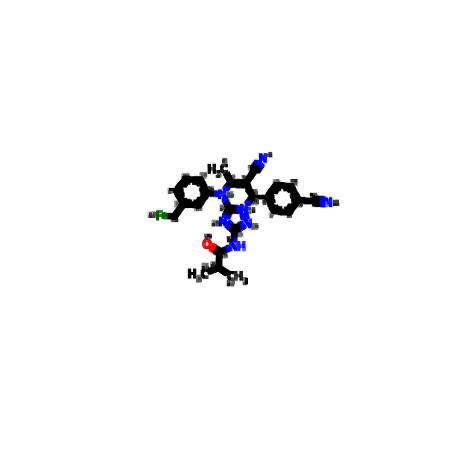 CC1=C(C#N)[C@@H](c2ccc(C#N)cc2)n2nc(NC(=O)C(C)C)nc2N1c1cccc(CF)c1